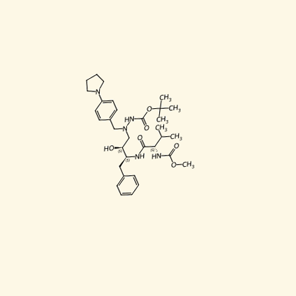 COC(=O)N[C@H](C(=O)N[C@@H](Cc1ccccc1)[C@@H](O)CN(Cc1ccc(N2CCCC2)cc1)NC(=O)OC(C)(C)C)C(C)C